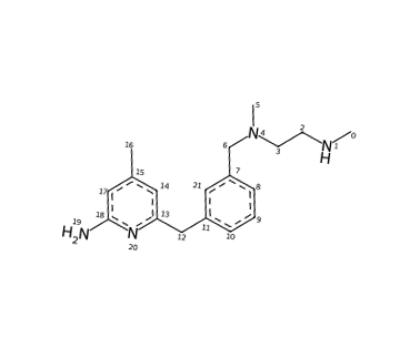 CNCCN(C)Cc1cccc(Cc2cc(C)cc(N)n2)c1